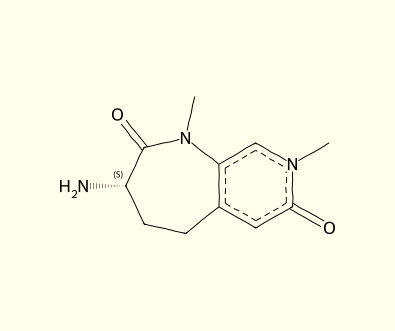 CN1C(=O)[C@@H](N)CCc2cc(=O)n(C)cc21